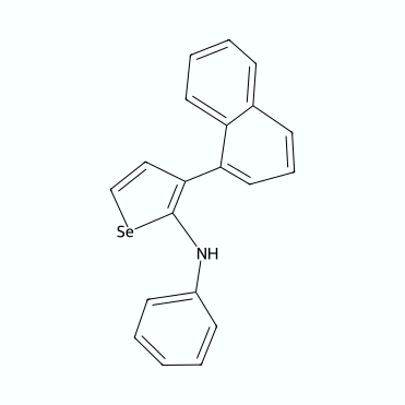 c1ccc(Nc2[se]ccc2-c2cccc3ccccc23)cc1